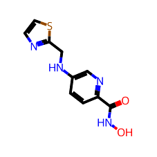 O=C(NO)c1ccc(NCc2nccs2)cn1